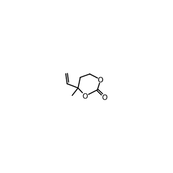 C=CC1(C)CCOC(=O)O1